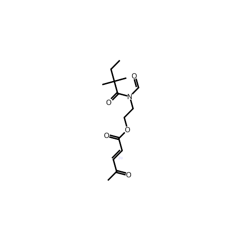 CCC(C)(C)C(=O)N(C=O)CCOC(=O)/C=C/C(C)=O